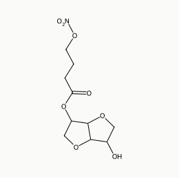 O=C(CCCO[N+](=O)[O-])OC1COC2C(O)COC12